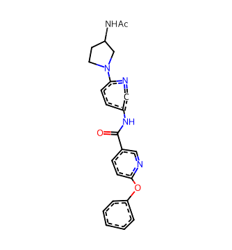 CC(=O)NC1CCN(c2ccc(NC(=O)c3ccc(Oc4ccccc4)nc3)cn2)C1